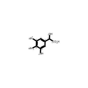 CCCc1cc(C(O)C(=O)O)cc(CCC)c1CCC